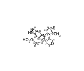 Cc1cc(-n2c(C3CCOCC3)c(CC3CC3C(=O)O)c3cc4[nH]ncc4cc32)ccc1F